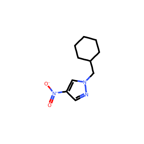 O=[N+]([O-])c1cnn(CC2CCCCC2)c1